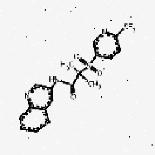 CC(C)(C(=O)Nc1cnc2ccccc2c1)S(=O)(=O)c1ccc(C(F)(F)F)nc1